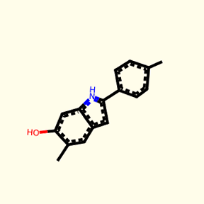 Cc1ccc(-c2cc3cc(C)c(O)cc3[nH]2)cc1